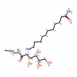 C[SiH2]O[SiH2]C(=O)[C@H](NCCCCCCCCCCC(N)=O)[C@@H](O)[C@H](O)[C@H](O)CO